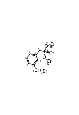 CCOC(=O)c1cccc(CP(=O)(OCC)OCC)c1